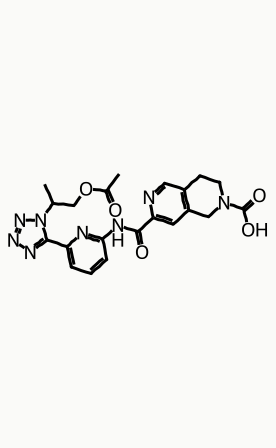 CC(=O)OCC(C)n1nnnc1-c1cccc(NC(=O)c2cc3c(cn2)CCN(C(=O)O)C3)n1